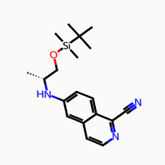 C[C@H](CO[Si](C)(C)C(C)(C)C)Nc1ccc2c(C#N)nccc2c1